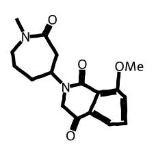 COc1cccc2c1C(=O)N(C1CCCN(C)C(=O)C1)CC2=O